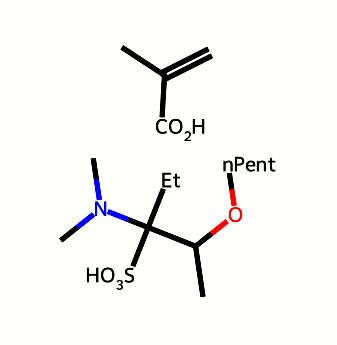 C=C(C)C(=O)O.CCCCCOC(C)C(CC)(N(C)C)S(=O)(=O)O